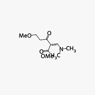 COCCC(=O)C(=CN(C)C)C(=O)OC